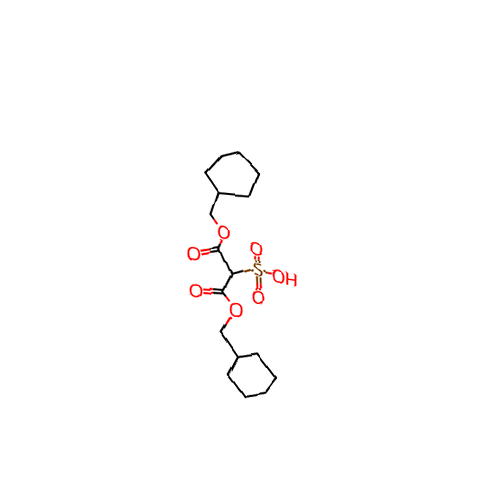 O=C(OCC1CCCCC1)C(C(=O)OCC1CCCCC1)S(=O)(=O)O